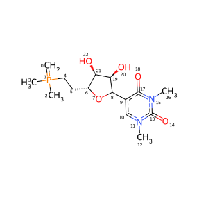 C=P(C)(C)CC[C@H]1OC(c2cn(C)c(=O)n(C)c2=O)[C@H](O)[C@@H]1O